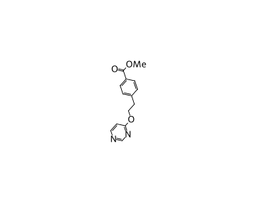 COC(=O)c1ccc(CCOc2ccncn2)cc1